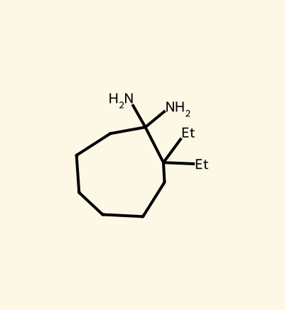 CCC1(CC)CCCCCCC1(N)N